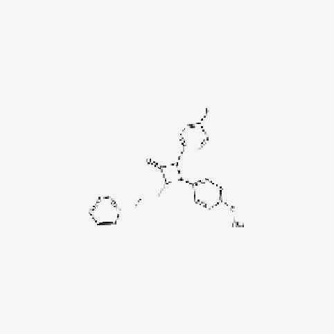 CCCCOc1ccc(C2C(c3ccc(F)cc3)C(=O)N2CCCc2ccccc2)cc1